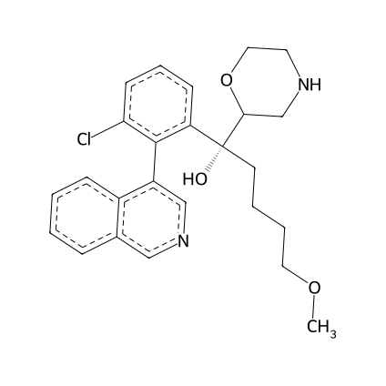 COCCCC[C@@](O)(c1cccc(Cl)c1-c1cncc2ccccc12)C1CNCCO1